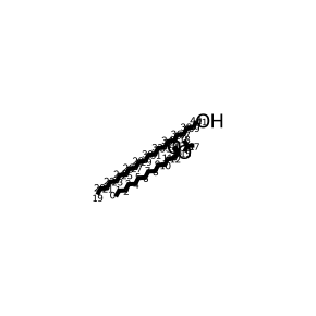 CCCCCCCCCCCCCC(=O)OC(C)C.CCCCCCCCCCCCCCCCCCCCCCO